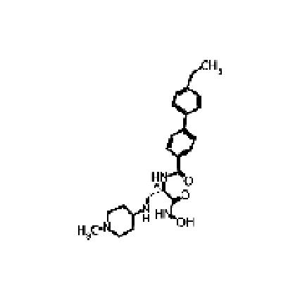 CCc1ccc(-c2ccc(C(=O)N[C@@H](CNC3CCN(C)CC3)C(=O)NO)cc2)cc1